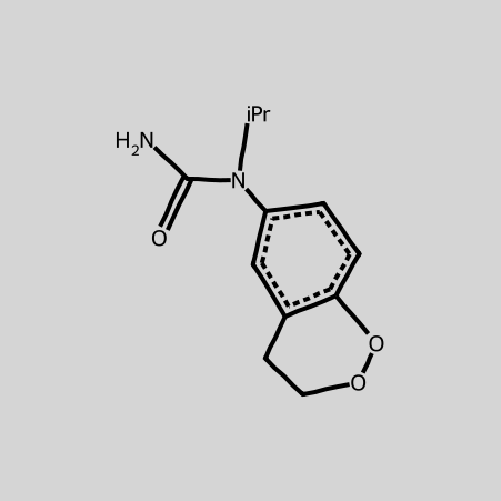 CC(C)N(C(N)=O)c1ccc2c(c1)CCOO2